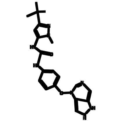 Cn1nc(C(C)(C)C)cc1NC(=O)Nc1ccc(ON2C=NC=C3NNC=C32)cc1